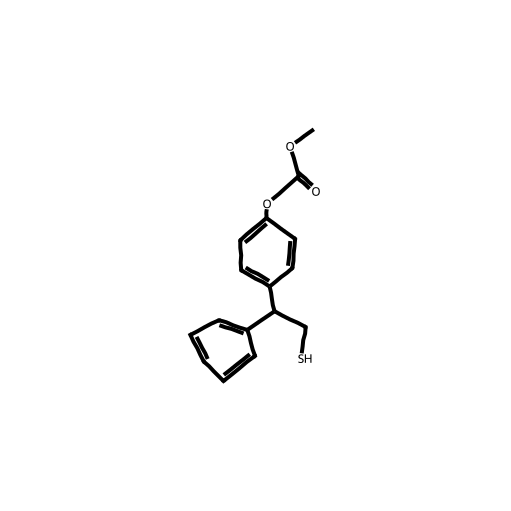 COC(=O)Oc1ccc(C(CS)c2ccccc2)cc1